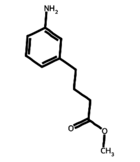 COC(=O)CCCc1cccc(N)c1